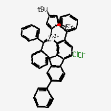 CCC1C=C(C(C)(C)C)C=[C]1[Zr+2](=[C](c1ccccc1)c1ccccc1)[c]1c(-c2ccccc2)ccc2c1Cc1cc(-c3ccccc3)ccc1-2.[Cl-].[Cl-]